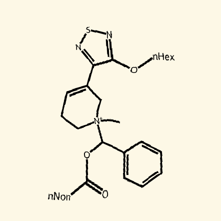 CCCCCCCCCC(=O)OC(c1ccccc1)[N+]1(C)CCC=C(c2nsnc2OCCCCCC)C1